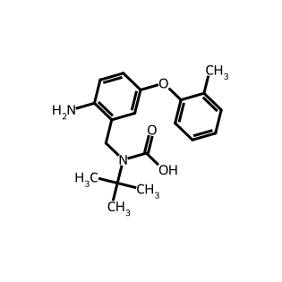 Cc1ccccc1Oc1ccc(N)c(CN(C(=O)O)C(C)(C)C)c1